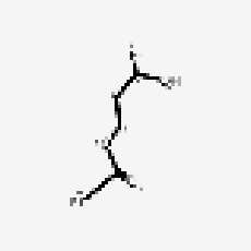 CCC(=O)OCCC(O)CC